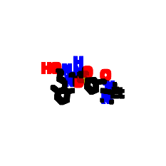 CCC(C)(N(C)C)N(C)C(=O)c1cccc(S(=O)(=O)Nc2nc(O)cc(-c3c(C)cccc3C)n2)c1